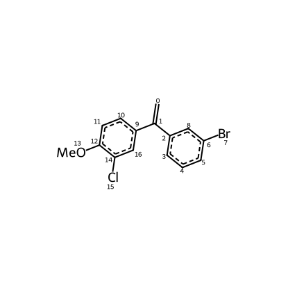 C=C(c1cccc(Br)c1)c1ccc(OC)c(Cl)c1